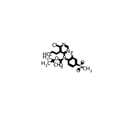 CC(C)(C)OC(=O)N(c1ccc(S(C)(=O)=O)cc1F)c1ncnc(Cl)c1CCO